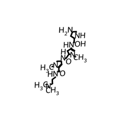 CN(C)CCCNC(=O)C1=CC(NC(=O)C2CC(NC(O)C3CC(N)CN3)=CN2C)CN1C